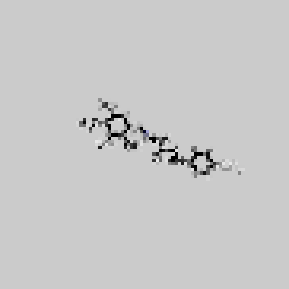 Cc1ccc(NCC(=O)N/N=C/c2cc(Br)c(C)c(Br)c2O)cc1